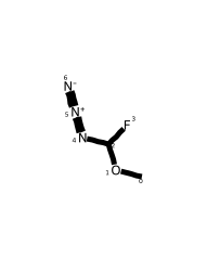 COC(F)N=[N+]=[N-]